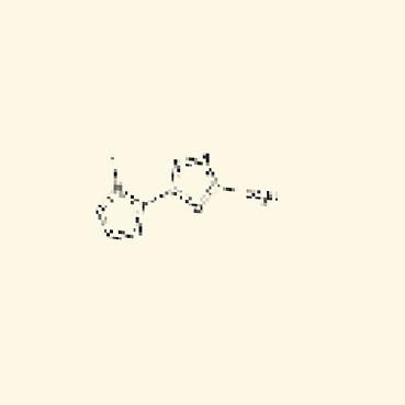 CCOC(=O)c1ncc(-c2cccn2C)o1